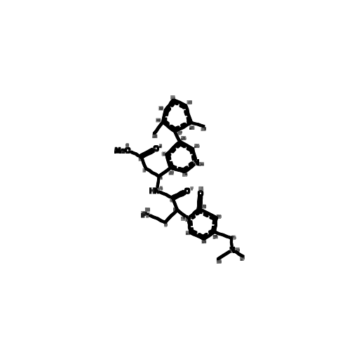 COC(=O)CC(NC(=O)C(CC(C)C)n1ccc(CN(C)C)cc1=O)c1cncc(-c2c(C)cccc2C)c1